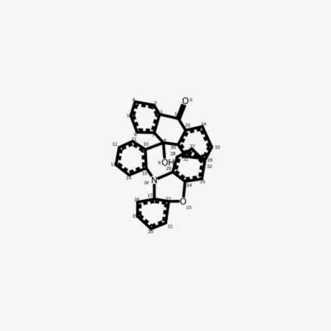 O=C1c2ccccc2C(O)(c2ccccc2N2c3ccccc3Oc3ccccc32)c2ccccc21